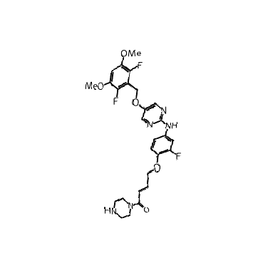 COc1cc(OC)c(F)c(COc2cnc(Nc3ccc(OCCCC(=O)N4CCNCC4)c(F)c3)nc2)c1F